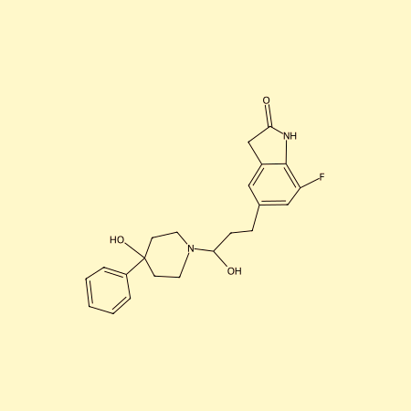 O=C1Cc2cc(CCC(O)N3CCC(O)(c4ccccc4)CC3)cc(F)c2N1